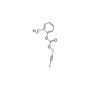 Cc1ccccc1OC(=O)OCC#CI